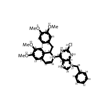 COc1ccc(CC2c3cc(OC)c(OC)cc3C=CN2c2nc(Cl)nc3c2ncn3Cc2ccccc2)cc1OC